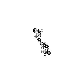 Cn1c(=O)c2cnc(Nc3ccc(N4CCN(C(=O)c5cc(Cc6n[nH]c(=O)c7ccccc67)ccc5F)CC4)cc3)nc2n1-c1ncccn1